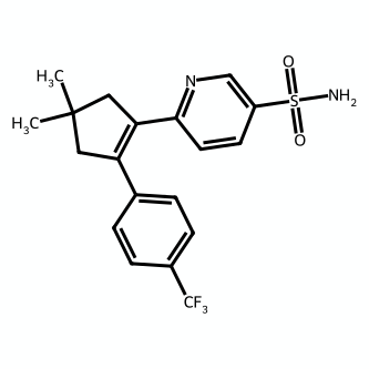 CC1(C)CC(c2ccc(C(F)(F)F)cc2)=C(c2ccc(S(N)(=O)=O)cn2)C1